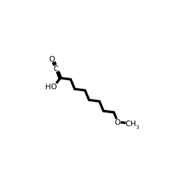 COCCCCCCCC(O)=C=O